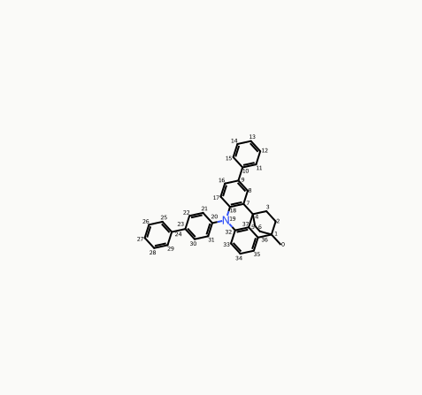 CC12CCC3(CC1)c1cc(-c4ccccc4)ccc1N(c1ccc(-c4ccccc4)cc1)c1cccc2c13